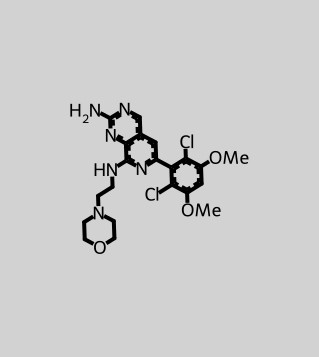 COc1cc(OC)c(Cl)c(-c2cc3cnc(N)nc3c(NCCN3CCOCC3)n2)c1Cl